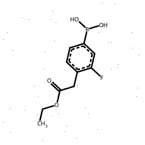 CCOC(=O)Cc1ccc(B(O)O)cc1F